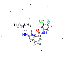 CN(C)CCNc1nc2c(F)c(F)cc(C(=O)Nc3ccc(F)c(Cl)c3)c2[nH]1